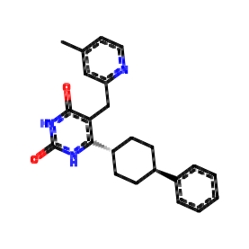 Cc1ccnc(Cc2c(=O)[nH]c(=O)[nH]c2[C@H]2CC[C@H](c3ccccc3)CC2)c1